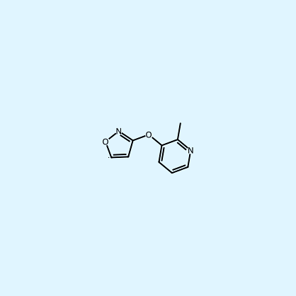 Cc1ncccc1Oc1c[c]on1